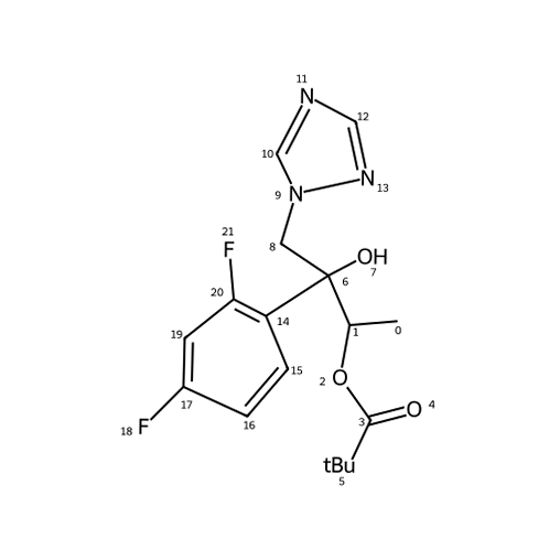 CC(OC(=O)C(C)(C)C)C(O)(Cn1cncn1)c1ccc(F)cc1F